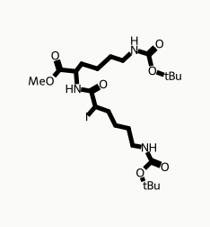 COC(=O)C(CCCCNC(=O)OC(C)(C)C)NC(=O)C(I)CCCCNC(=O)OC(C)(C)C